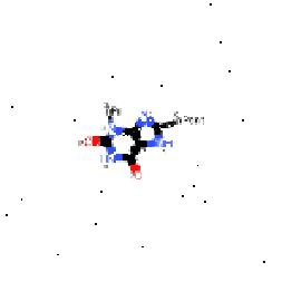 CCCCCc1nc2c([nH]1)c(=O)[nH]c(=O)n2CCC